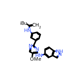 C=C(Nc1cccc(-c2ncc(OC)c(Nc3ccc4[nH]ncc4c3)n2)c1)C(C)CC